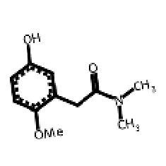 COc1ccc(O)cc1CC(=O)N(C)C